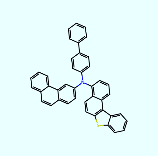 c1ccc(-c2ccc(N(c3ccc4ccc5ccccc5c4c3)c3cccc4c3ccc3sc5ccccc5c34)cc2)cc1